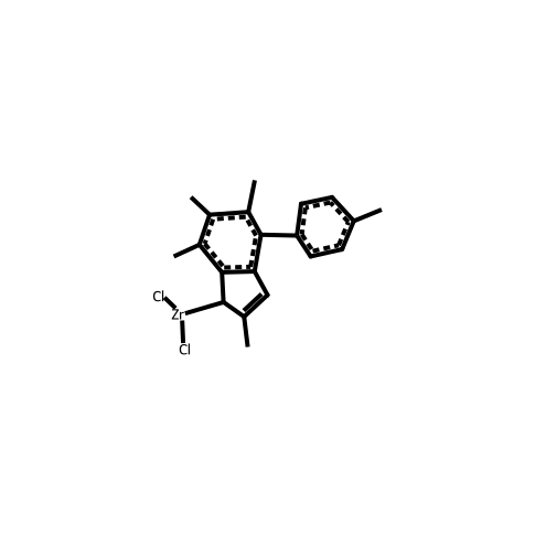 CC1=Cc2c(-c3ccc(C)cc3)c(C)c(C)c(C)c2[CH]1[Zr]([Cl])[Cl]